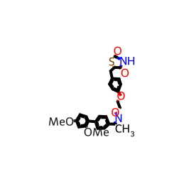 COc1ccc(-c2ccc(/C(C)=N\OCCOc3ccc(CC4SC(=O)NC4=O)cc3)cc2)c(OC)c1